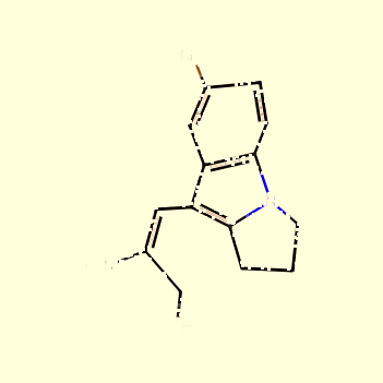 O=CCC(=Cc1c2n(c3ccc(Br)cc13)CCC2)[N+](=O)[O-]